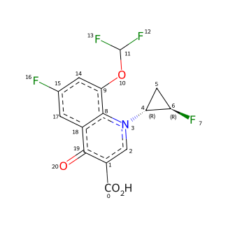 O=C(O)c1cn([C@@H]2C[C@H]2F)c2c(OC(F)F)cc(F)cc2c1=O